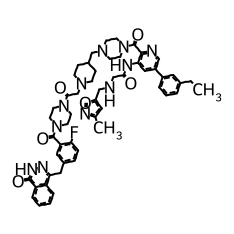 CCc1cccc(-c2cnc(C(=O)N3CCN(CC4CCN(CC(=O)N5CCN(C(=O)c6cc(Cc7n[nH]c(=O)c8ccccc78)ccc6F)CC5)CC4)CC3)c(NC(=O)CNCc3cc(C)no3)c2)c1